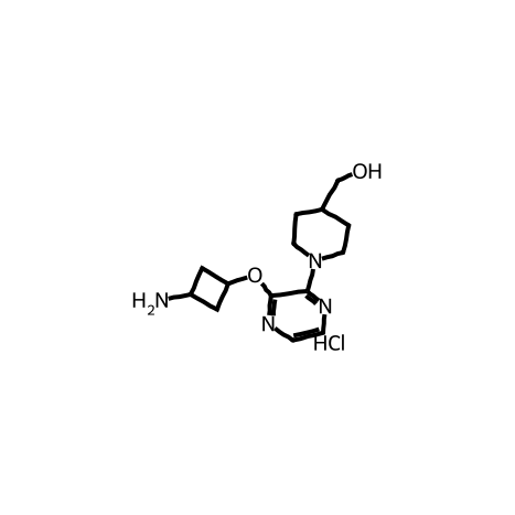 Cl.NC1CC(Oc2nccnc2N2CCC(CO)CC2)C1